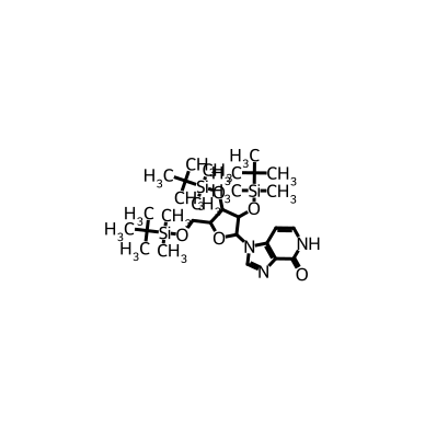 CC(C)(C)[Si](C)(C)OCC1OC(n2cnc3c(=O)[nH]ccc32)C(O[Si](C)(C)C(C)(C)C)C1O[Si](C)(C)C(C)(C)C